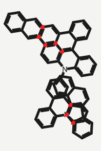 c1ccc(-c2cc(N(c3ccc(-c4ccc5ccccc5c4)cc3)c3ccccc3-c3cc4ccccc4c4ccccc34)ccc2-c2ccccc2-n2c3ccccc3c3ccc4ccccc4c32)cc1